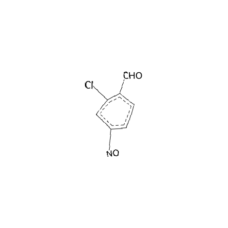 O=Cc1ccc(N=O)cc1Cl